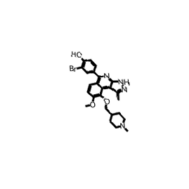 COc1ccc2c(-c3ccc(O)c(Br)c3)nc3[nH]nc(C)c3c2c1OCC1CCN(C)CC1